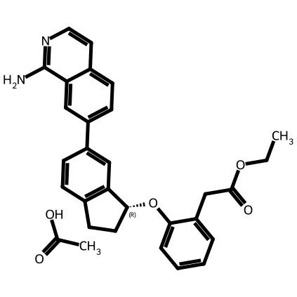 CC(=O)O.CCOC(=O)Cc1ccccc1O[C@@H]1CCc2ccc(-c3ccc4ccnc(N)c4c3)cc21